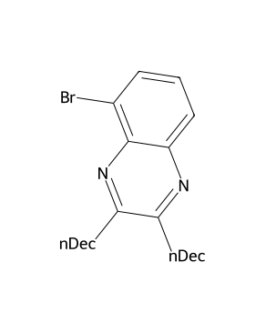 CCCCCCCCCCc1nc2cccc(Br)c2nc1CCCCCCCCCC